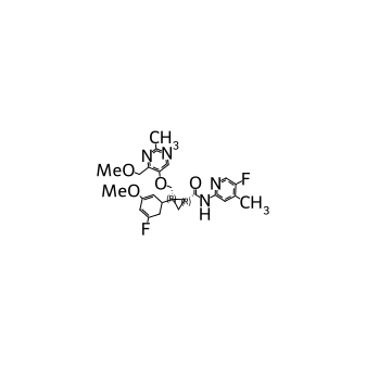 COCc1nc(C)ncc1OC[C@@]1(C2C=C(OC)C=C(F)C2)C[C@H]1C(=O)Nc1cc(C)c(F)cn1